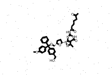 COc1ccc(C(OC[C@@H]2CC[C@H](n3nc(C)c4c(=O)[nH]c(NC(=O)CCCCC(C)=O)nc43)O2)(c2ccccc2)c2ccc(CO)cc2)cc1